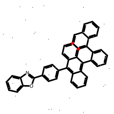 c1ccc(-c2c3ccccc3c(-c3ccc(-c4nc5ccccc5o4)cc3)c3ccccc23)c(-c2cccc3ccccc23)c1